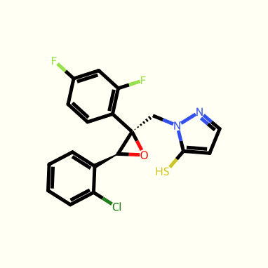 Fc1ccc([C@@]2(Cn3nccc3S)O[C@H]2c2ccccc2Cl)c(F)c1